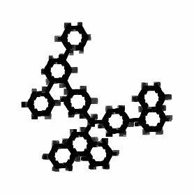 c1ccc(-c2ccc(-c3ccccc3)c(-c3ccc(N(c4ccc(-c5cccc6ccccc56)cc4)c4cc5ccccc5c5ccccc45)cc3)c2)cc1